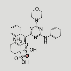 NC1=C(C=C(c2ccccc2)c2nc(Nc3ccccc3)nc(N3CCOCC3)n2)C(S(=O)(=O)O)(S(=O)(=O)O)CC=C1